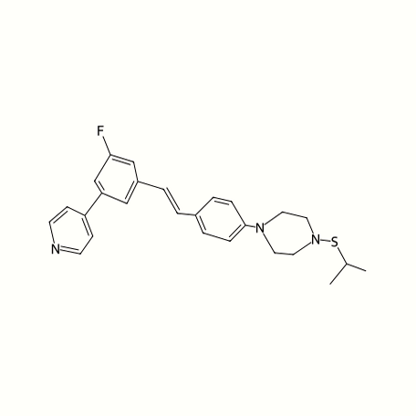 CC(C)SN1CCN(c2ccc(/C=C/c3cc(F)cc(-c4ccncc4)c3)cc2)CC1